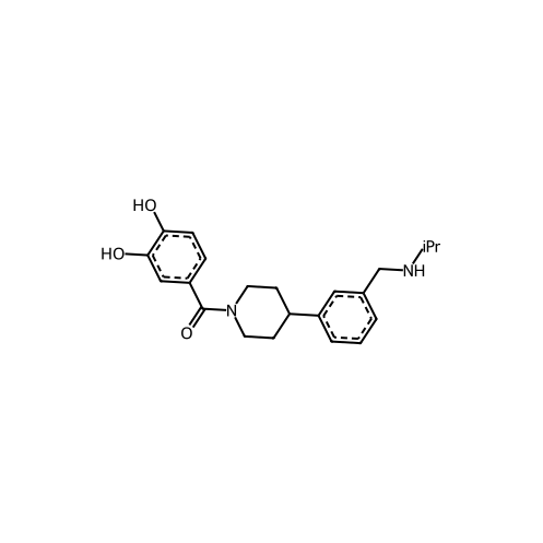 CC(C)NCc1cccc(C2CCN(C(=O)c3ccc(O)c(O)c3)CC2)c1